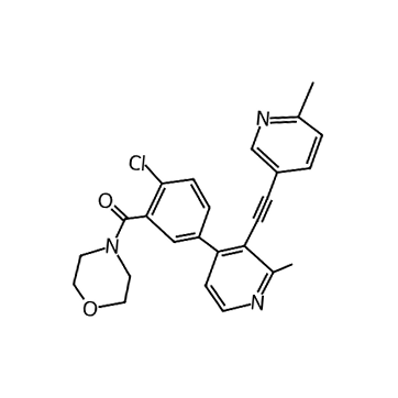 Cc1ccc(C#Cc2c(-c3ccc(Cl)c(C(=O)N4CCOCC4)c3)ccnc2C)cn1